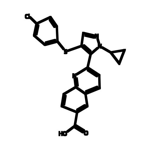 O=C(O)c1ccc2nc(-c3c(Sc4ccc(Cl)cc4)cnn3C3CC3)ccc2c1